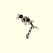 COc1ccc(NC(=O)/C=C/CN(C)CCOCCOCCN=[N+]=[N-])cc1Nc1cc(Nc2ccc(F)c(Cl)c2)ncn1